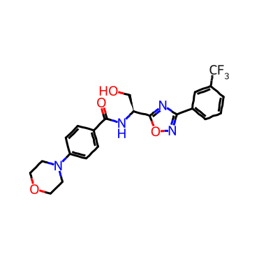 O=C(N[C@@H](CO)c1nc(-c2cccc(C(F)(F)F)c2)no1)c1ccc(N2CCOCC2)cc1